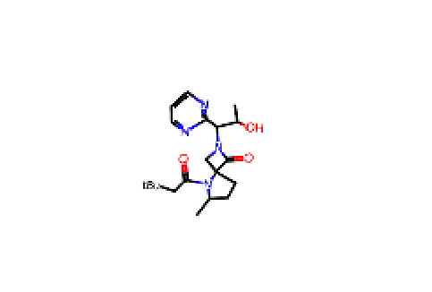 CC(O)C(c1ncccn1)N1CC2(CCC(C)N2C(=O)CC(C)(C)C)C1=O